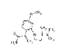 C=C(C(N)=O)c1ccc(OC)cc1N1CCC1(C)N(C)C